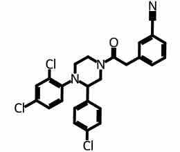 N#Cc1cccc(CC(=O)N2CCN(c3ccc(Cl)cc3Cl)C(c3ccc(Cl)cc3)C2)c1